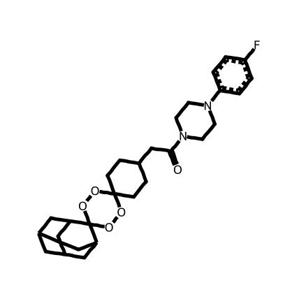 O=C(CC1CCC2(CC1)OOC1(OO2)C2CC3CC(C2)CC1C3)N1CCN(c2ccc(F)cc2)CC1